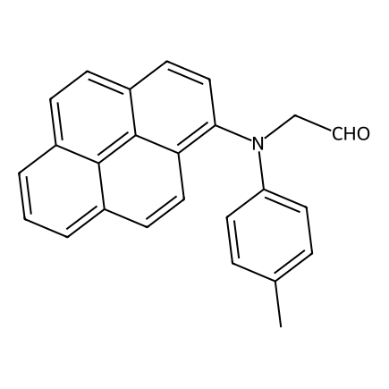 Cc1ccc(N(CC=O)c2ccc3ccc4cccc5ccc2c3c45)cc1